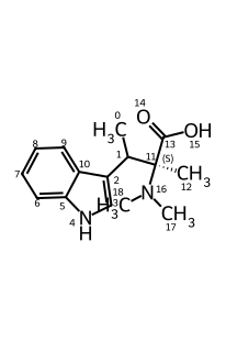 CC(c1c[nH]c2ccccc12)[C@@](C)(C(=O)O)N(C)C